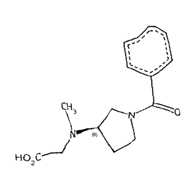 CN(CC(=O)O)[C@@H]1CCN(C(=O)c2ccccc2)C1